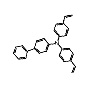 C=Cc1ccc(N(c2ccc(C=C)cc2)c2ccc(-c3ccccc3)cc2)cc1